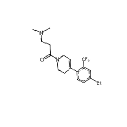 CCc1ccc(C2=CCN(C(=O)CCN(C)C)CC2)c(C(F)(F)F)c1